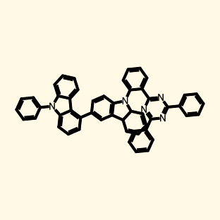 C1=CC2c3cc(-c4cccc5c4c4ccccc4n5-c4ccccc4)ccc3N(c3ccccc3-c3nc(-c4ccccc4)nc(-c4ccccc4)n3)C2C=C1